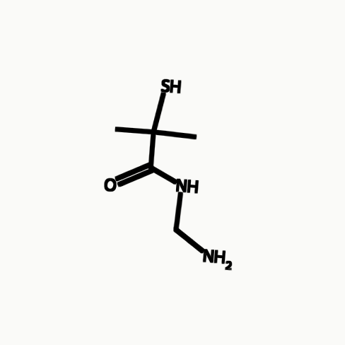 CC(C)(S)C(=O)NCN